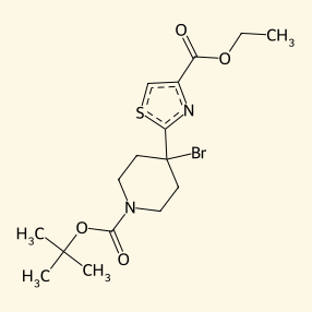 CCOC(=O)c1csc(C2(Br)CCN(C(=O)OC(C)(C)C)CC2)n1